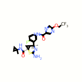 CC1(NC(=O)[C@]23CC2[C@@](C)(c2cc(NC(=O)c4cnc(OCC(F)(F)F)cn4)ccc2F)N=C(N)S3)CC1